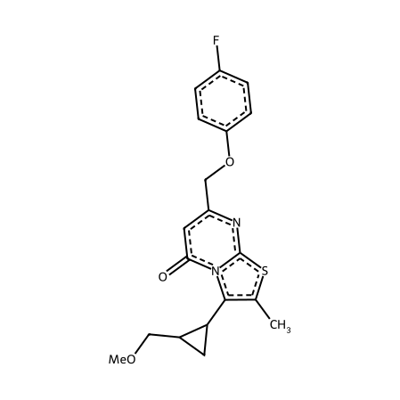 COCC1CC1c1c(C)sc2nc(COc3ccc(F)cc3)cc(=O)n12